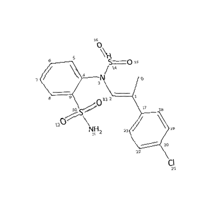 CC(=CN(c1ccccc1S(N)(=O)=O)[SH](=O)=O)c1ccc(Cl)cc1